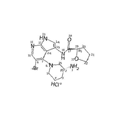 Cl.N[C@@H]1CCCN(c2c(Br)cnc3[nH]cc(NC(=O)[C@H]4CCCO4)c23)C1